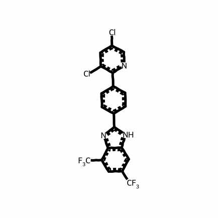 FC(F)(F)c1cc(C(F)(F)F)c2nc(-c3ccc(-c4ncc(Cl)cc4Cl)cc3)[nH]c2c1